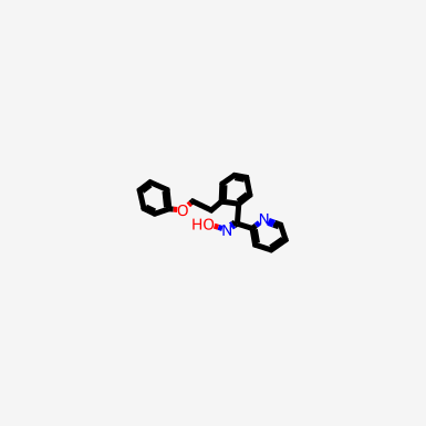 ON=C(c1ccccn1)c1ccccc1CCOc1ccccc1